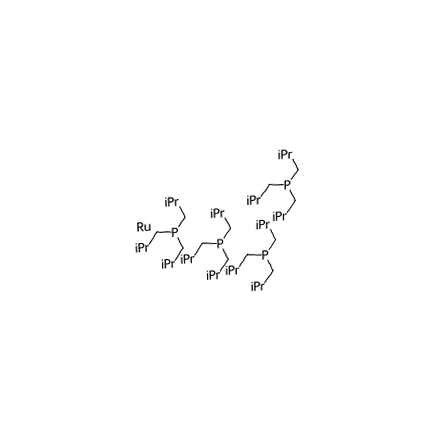 CC(C)CP(CC(C)C)CC(C)C.CC(C)CP(CC(C)C)CC(C)C.CC(C)CP(CC(C)C)CC(C)C.CC(C)CP(CC(C)C)CC(C)C.[Ru]